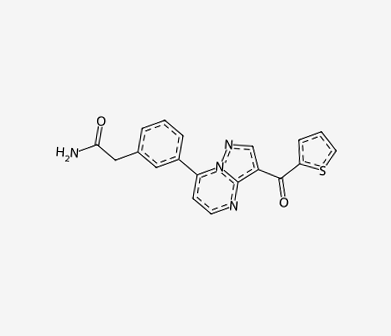 NC(=O)Cc1cccc(-c2ccnc3c(C(=O)c4cccs4)cnn23)c1